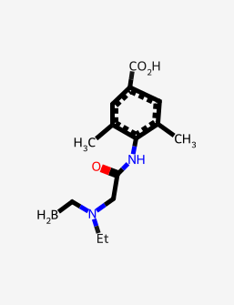 BCN(CC)CC(=O)Nc1c(C)cc(C(=O)O)cc1C